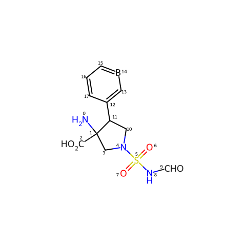 NC1(C(=O)O)CN(S(=O)(=O)NC=O)CC1c1cbccc1